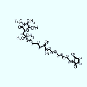 C[C@@H](C(=O)O)N(C)C(=O)CCC(C)(C)SSCCCC(=O)NCCOCCOCCN1C(=O)C=CC1=O